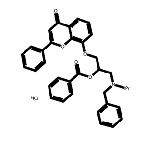 CC(C)N(Cc1ccccc1)CC(COc1cccc2c(=O)cc(-c3ccccc3)oc12)OC(=O)c1ccccc1.Cl